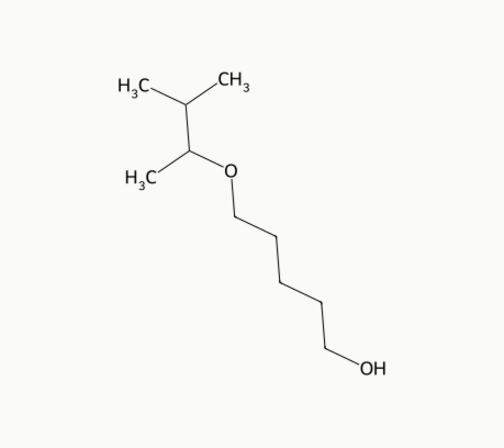 CC(C)C(C)OCCCCCO